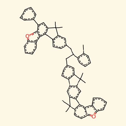 Cc1ccccc1C(Cc1ccc2c(c1)C(C)(C)c1cc3c(cc1-2)C(C)(C)c1ccc2oc4ccccc4c2c1-3)Cc1ccc2c(c1)C(C)(C)c1cc(-c3ccccc3)c3oc4ccccc4c3c1-2